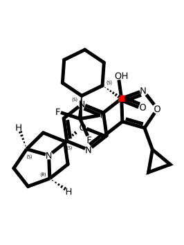 O=C(O)c1cnc(N2[C@@H]3CC[C@H]2C[C@H](OCc2c([C@H]4CCCC[C@@H]4C(F)(F)F)noc2C2CC2)C3)cn1